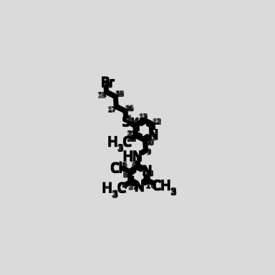 Cc1nc(C)c(Cl)c(NCc2nccc(SCCCCBr)c2C)n1